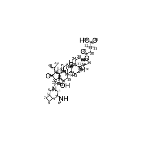 CNCCN(CC1CCC1)C[C@H](O)[C@@]12CC[C@]3(C)[C@H](CC[C@@H]4[C@@]5(C)CC[C@H](OC(=O)CC(C)(C)C(=O)O)C(C)(C)[C@H]5CC[C@]43C)C1=C(C(C)C)C(=O)C2